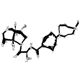 C[C@@H]1CN(C(=O)[C@@H](NC(=O)c2ccc(N3CCN(C)CC3)cc2)C(C)(C)C)[C@@H]2C(=O)CO[C@H]12